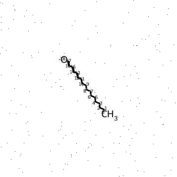 CCCCCCCCCCCC/C=C/C=C/C=C/[O]